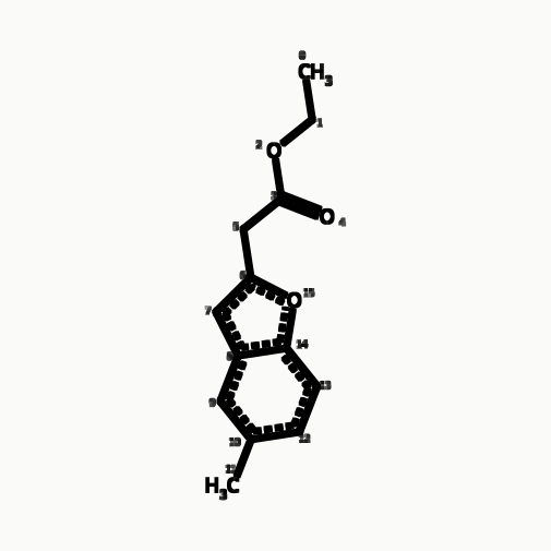 CCOC(=O)Cc1cc2cc(C)ccc2o1